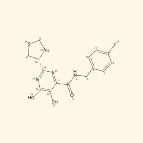 O=C(NCc1ccc(F)cc1)c1nc([C@@H]2CSCN2)nc(O)c1O